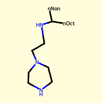 CCCCCCCCCC(CCCCCCCC)NCCN1CCNCC1